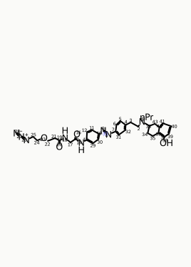 CCCN(CCc1ccc(/N=N/c2ccc(NC(=O)CNC(=O)CCOCCN=[N+]=[N-])cc2)cc1)C1CCc2c(O)cccc2C1